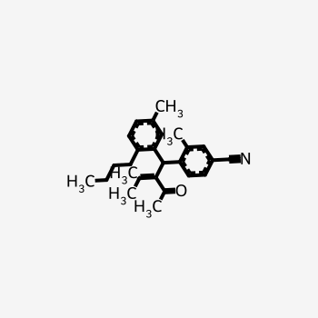 CCCCc1ccc(C)cc1C(C(C(C)=O)=C(C)C)c1ccc(C#N)cc1C